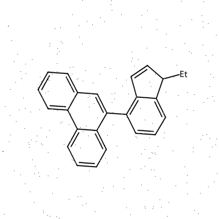 CCC1C=Cc2c(-c3cc4ccccc4c4ccccc34)cccc21